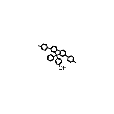 Cc1ccc(-c2ccc3c(c2)C(c2ccccc2)(c2ccc(O)cc2)c2cc(-c4ccc(C)cc4)ccc2-3)cc1